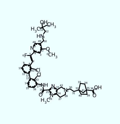 COc1cc(/C(F)=C/c2cccc(-c3cccc(NC(=O)c4nc5c(n4C)CCN(CCC46CCC(C(=O)O)(CC4)C6)C5)c3Cl)c2Cl)ncc1CNCC(C)(C)O